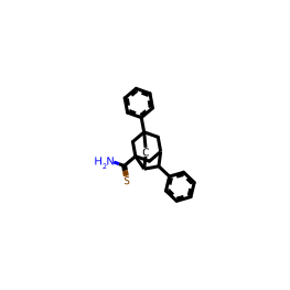 NC(=S)C12CC3CC(c4ccccc4)(CC1C3c1ccccc1)C2